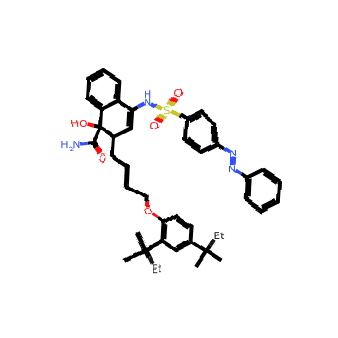 CCC(C)(C)c1ccc(OCCCCC2C=C(NS(=O)(=O)c3ccc(N=Nc4ccccc4)cc3)c3ccccc3C2(O)C(N)=O)c(C(C)(C)CC)c1